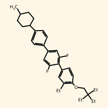 CCc1cc(-c2c(F)cc(-c3ccc(C4CCC(C)CC4)cc3)cc2F)ccc1OCC(CC)(CC)CC